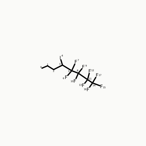 CCCC(I)C(F)(F)C(F)(F)C(F)(F)C(F)(F)F